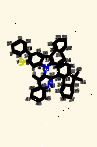 Cc1c(-n2c3cc4sc5ccccc5c4cc3c3c4ccccc4ccc32)c(-c2cccc3c2-c2ccccc2C3(C)C)nc2ccccc12